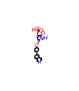 O=C(O)C[C@@H]1C[C@@H](COc2ccc(-c3ccc4cnccc4c3)cc2)NC1=O